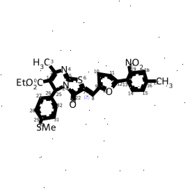 CCOC(=O)C1=C(C)N=c2s/c(=C\c3ccc(-c4ccc(C)cc4[N+](=O)[O-])o3)c(=O)n2C1c1ccc(SC)cc1